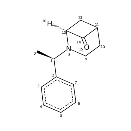 C[C@H](c1ccccc1)N1CCC2C[C@H]1C2=O